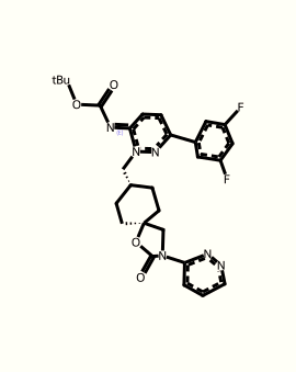 CC(C)(C)OC(=O)/N=c1\ccc(-c2cc(F)cc(F)c2)nn1C[C@H]1CC[C@]2(CC1)CN(c1cccnn1)C(=O)O2